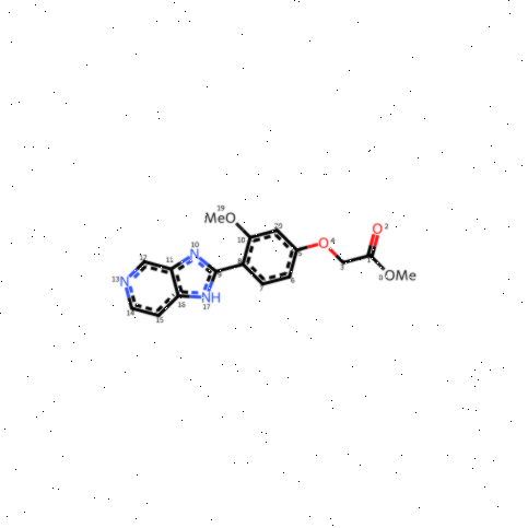 COC(=O)COc1ccc(-c2nc3cnccc3[nH]2)c(OC)c1